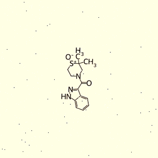 CC1(C)CN(C(=O)c2n[nH]c3ccccc23)CC[S+]1[O-]